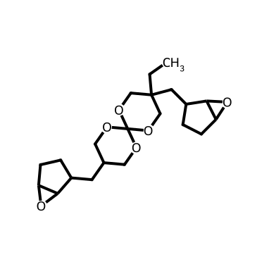 CCC1(CC2CCC3OC23)COC2(OCC(CC3CCC4OC34)CO2)OC1